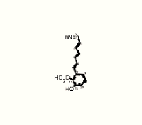 CCCCCCCCCC=CC=CC=Cc1cccc(O)c1C(=O)O